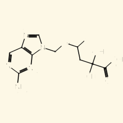 CC(CC(C)(C)C(=O)O)OCn1cnc2cnc(N)nc21